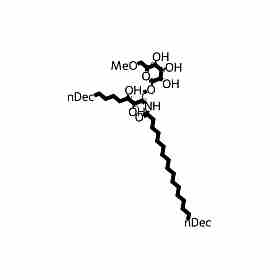 CCCCCCCCCCCCCCCCCCCCCCCCCC(=O)N[C@@H](CO[C@H]1OC(COC)[C@H](O)[C@H](O)C1O)[C@H](O)[C@H](O)CCCCCCCCCCCCCC